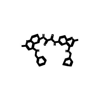 Cc1cc(NCc2ccccc2)c2cc(NC(=O)C(=O)Nc3ccc4nc(C)cc(NCc5ccccc5)c4c3)ccc2n1